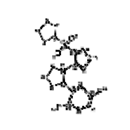 O=S(=O)(C1CCCC1)n1nccc1N1CCCC1c1cc(F)ccc1F